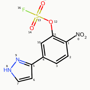 O=[N+]([O-])c1ccc(-c2cc[nH]n2)cc1OS(=O)(=O)F